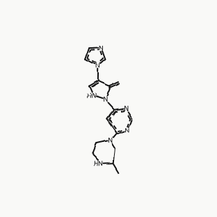 C=C1C(n2ccnc2)=CNN1c1cc(N2CCNC(C)C2)ncn1